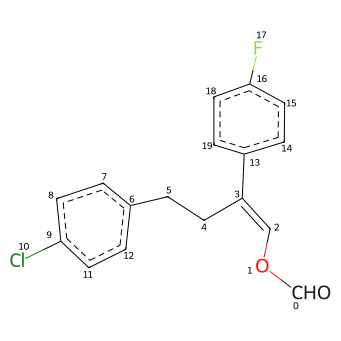 O=CO/C=C(\CCc1ccc(Cl)cc1)c1ccc(F)cc1